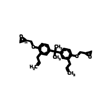 C=CCc1cc(C(C)(C)c2ccc(OC[C@H]3CO3)c(CC=C)c2)ccc1OCC1CO1